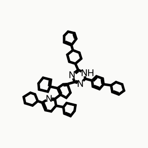 C1=CC(C2CCC(C3=NC(C4=CC(C5=CCCCC5)=C(C5=NC(C6CCCCC6)=CCC5C5C=CCCC5)CC4)=NC(c4ccc(C5C=CCCC5)cc4)N3)CC2)=CCC1